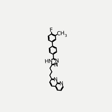 Cc1cc(-c2ccc(-c3nnc(CCCc4ccc5cccnc5n4)[nH]3)cc2)ccc1F